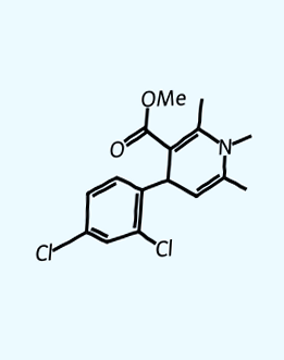 COC(=O)C1=C(C)N(C)C(C)=CC1c1ccc(Cl)cc1Cl